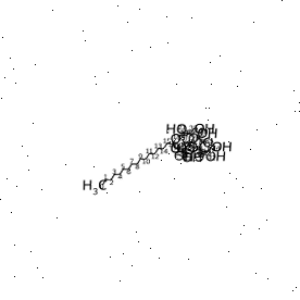 CCCCCCCCCCCCCCCCC(=O)O[C@H]1[C@H](O)[C@@H](CO)O[C@H](O[C@H]2[C@H](O)[C@@H](O)[C@H](O)O[C@@H]2CO)[C@@H]1OS(=O)(=O)O